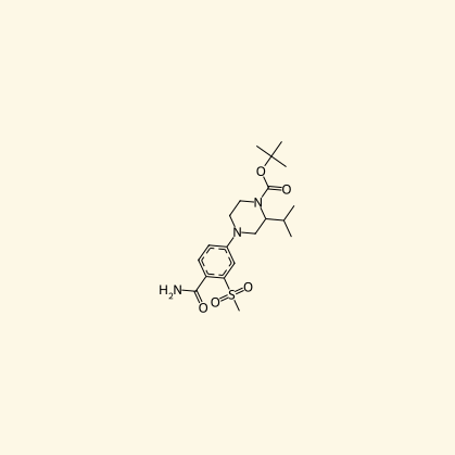 CC(C)C1CN(c2ccc(C(N)=O)c(S(C)(=O)=O)c2)CCN1C(=O)OC(C)(C)C